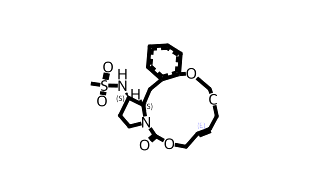 CS(=O)(=O)N[C@H]1CCN2C(=O)OC/C=C/CCCOc3ccccc3C[C@@H]12